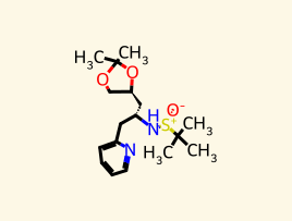 CC1(C)OC[C@H](C[C@@H](Cc2ccccn2)N[S@+]([O-])C(C)(C)C)O1